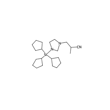 CC(C#N)CN1CCN([Si](C2CCCC2)(C2CCCC2)C2CCCC2)C1